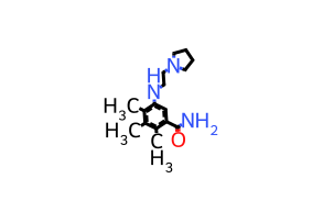 Cc1c(NCCN2CCCC2)cc(C(N)=O)c(C)c1C